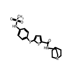 CS(=O)(=O)Nc1ccc(Sc2ccc(C(=O)NC3CN4CCC3CC4)s2)cc1